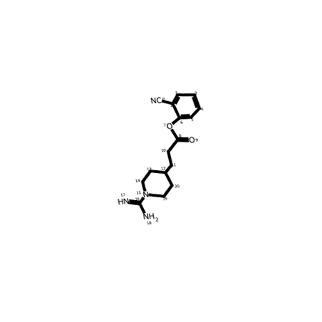 N#Cc1ccccc1OC(=O)CCC1CCN(C(=N)N)CC1